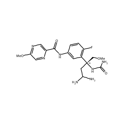 COC[C@](CC(N)N)(NC(N)=O)c1cc(NC(=O)c2cnc(OC)cn2)ccc1F